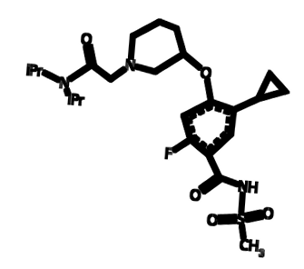 CC(C)N(C(=O)CN1CCCC(Oc2cc(F)c(C(=O)NS(C)(=O)=O)cc2C2CC2)C1)C(C)C